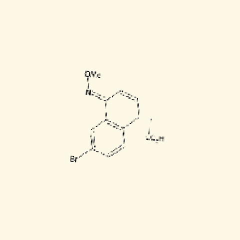 CC(=O)O.CON=C1C=CCc2ccc(Br)cc21